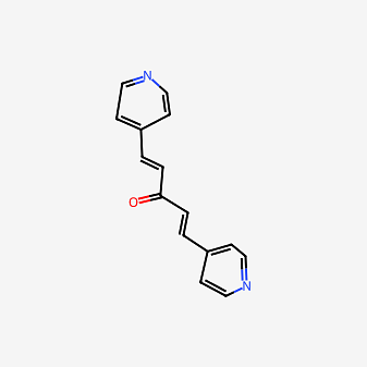 O=C(C=Cc1ccncc1)C=Cc1ccncc1